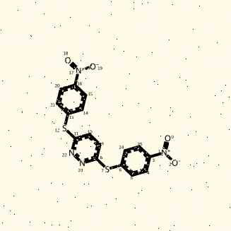 O=[N+]([O-])c1ccc(Sc2ccc(Sc3ccc([N+](=O)[O-])cc3)nn2)cc1